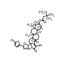 CC(C)C1=C2[C@H]3CC[C@@H]4C5(C)CC[C@H](OC(=O)CC(C)(C)C(=O)O)C(C)(C)[C@@H]5CC[C@@]4(C)[C@]3(C)CC[C@@]2(C2NN=C(c3ccc(Cl)s3)O2)CC1=O